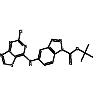 CC(C)(C)OC(=O)n1ncc2cc(Nc3nc(Cl)nc4ncsc34)ccc21